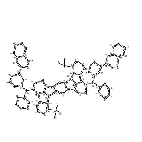 CC(C)(C)c1cccc2c3c(N(c4ccccc4)c4cccc(-c5ccc6ccccc6c5)c4)ccc4c5cc6c(cc5n(c12)c43)c1ccc(N(c2ccccc2)c2cccc(-c3ccc4ccccc4c3)c2)c2c3cccc(C(C)(C)C)c3n6c12